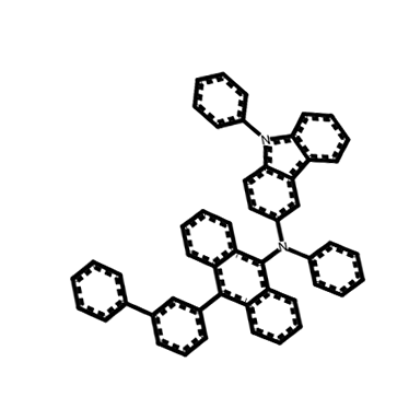 c1ccc(-c2cccc(-c3c4ccccc4c(N(c4ccccc4)c4ccc5c(c4)c4ccccc4n5-c4ccccc4)c4ccccc34)c2)cc1